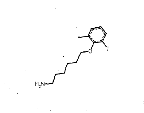 NCCCCCCOc1c(F)cccc1F